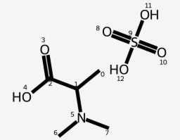 CC(C(=O)O)N(C)C.O=S(=O)(O)O